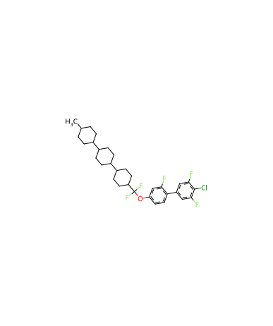 CC1CCC(C2CCC(C3CCC(C(F)(F)Oc4ccc(-c5cc(F)c(Cl)c(F)c5)c(F)c4)CC3)CC2)CC1